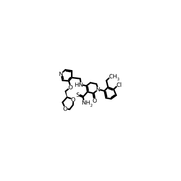 CCc1c(Cl)cccc1N1CCC(NCc2ccncc2OC[C@@H]2COCCO2)=C(C(N)=S)C1=O